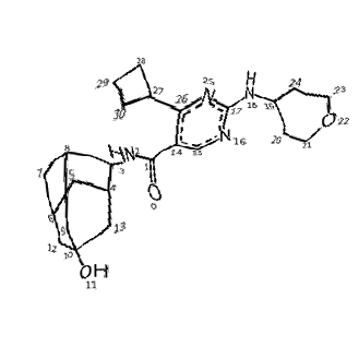 O=C(NC1C2CC3CC1CC(O)(C3)C2)c1cnc(NC2CCOCC2)nc1C1CCC1